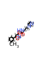 Cc1cccc(-c2cc(OC(=O)NCCCn3ccnc3)no2)c1